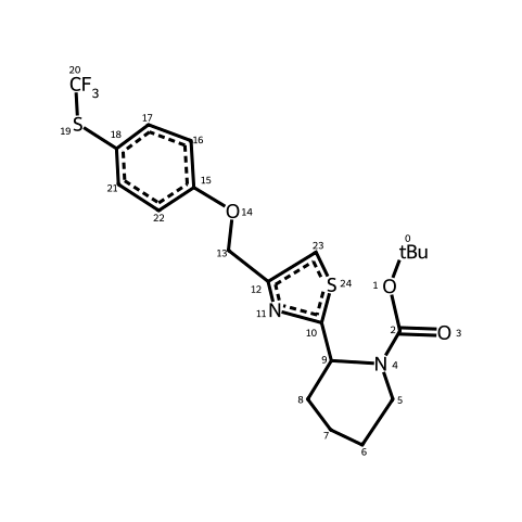 CC(C)(C)OC(=O)N1CCCCC1c1nc(COc2ccc(SC(F)(F)F)cc2)cs1